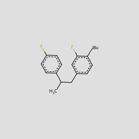 CCC(C)c1ccc(CC(C)c2ccc(F)cc2)cc1F